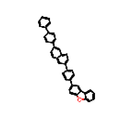 c1ccc(-c2ccc(-c3ccc4cc(-c5ccc(-c6ccc7oc8ccccc8c7c6)cc5)ccc4c3)cc2)cc1